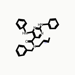 C/C=C/CN(Cc1ccccc1)C(=O)c1cnc(Nc2ccccc2)nc1Nc1ccccc1